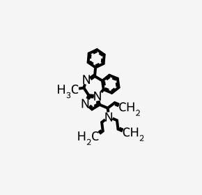 C=CCN(CC=C)C(C=C)c1cnc2n1-c1ccccc1C(c1ccccc1)=NC2C